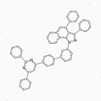 c1ccc(-c2cc(-c3ccc(-c4cccc(-n5nc(-c6ccccc6)c6c(-c7ccccc7)cc7ccccc7c65)c4)cc3)nc(-c3ccccc3)n2)cc1